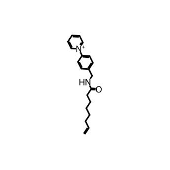 C=CCCCCCC(=O)NCc1ccc(-[n+]2ccccc2)cc1